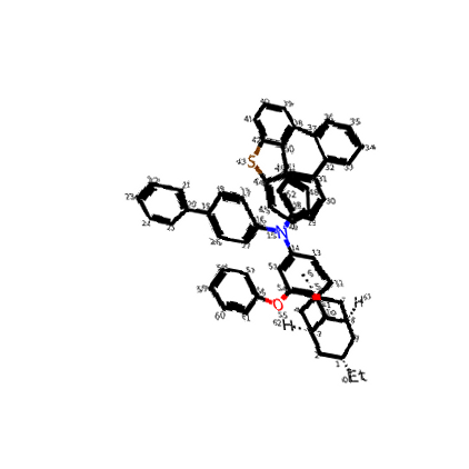 CC[C@@H]1C[C@H]2C[C@H](C)C[C@@H](C1)C2c1ccc(N(c2ccc(-c3ccccc3)cc2)c2ccc(-c3ccccc3-c3cccc4sc5ccccc5c34)cc2)cc1Oc1ccccc1